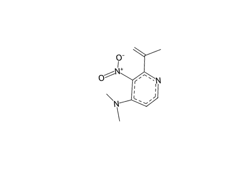 C=C(C)c1nccc(N(C)C)c1[N+](=O)[O-]